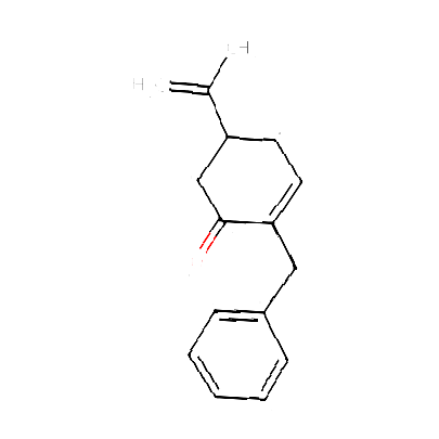 C=C(C)C1CC=C(Cc2ccccc2)C(=O)C1